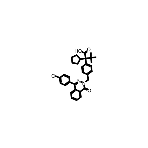 CC(C)(C)C(C(=O)O)(c1ccc(Cn2nc(-c3ccc(Cl)cc3)c3ccccc3c2=O)cc1)C1CCCC1